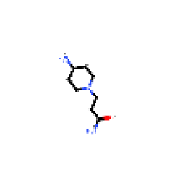 NC(=O)CCN1CCC(N)CC1